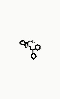 CCOc1c2ccccc2nn1CCC(c1ccccc1)c1ccccc1